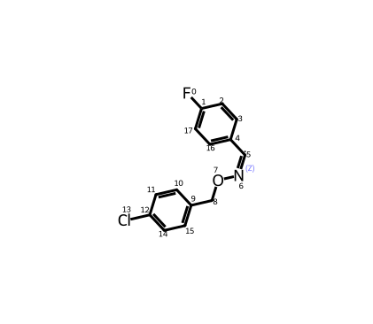 Fc1ccc(/[C]=N\OCc2ccc(Cl)cc2)cc1